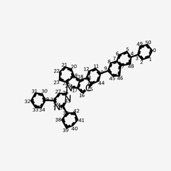 c1ccc(-c2ccc3cc(-c4ccc5c(ccc6c5c5ccccc5n6-c5cc(-c6ccccc6)nc(-c6ccccc6)n5)c4)ccc3c2)cc1